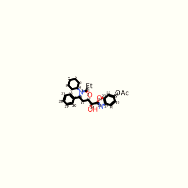 CCC(=O)N(C1CCCCC1)C(CCC(O)c1nc2ccc(OC(C)=O)cc2o1)c1ccccc1